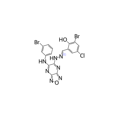 Oc1c(Br)cc(Cl)cc1/C=N/Nc1nc2nonc2nc1Nc1cccc(Br)c1